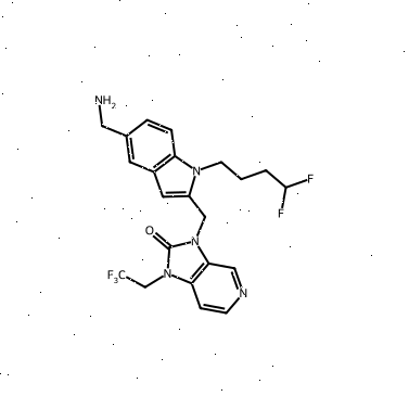 NCc1ccc2c(c1)cc(Cn1c(=O)n(CC(F)(F)F)c3ccncc31)n2CCCC(F)F